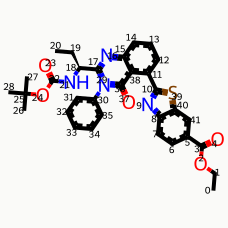 CCOC(=O)c1ccc2nc(-c3cccc4nc([C@H](CC)NC(=O)OC(C)(C)C)n(-c5ccccc5)c(=O)c34)sc2c1